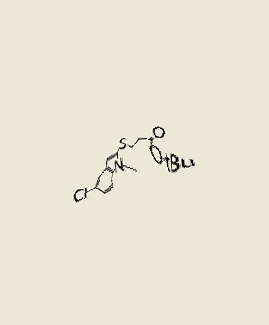 Cn1c(SCCC(=O)OC(C)(C)C)cc2cc(Cl)ccc21